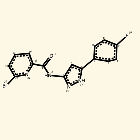 O=C(Nc1cc(-c2ccc(F)cc2)[nH]n1)c1cccc(Br)n1